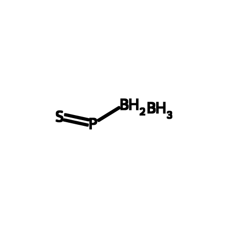 B.BP=S